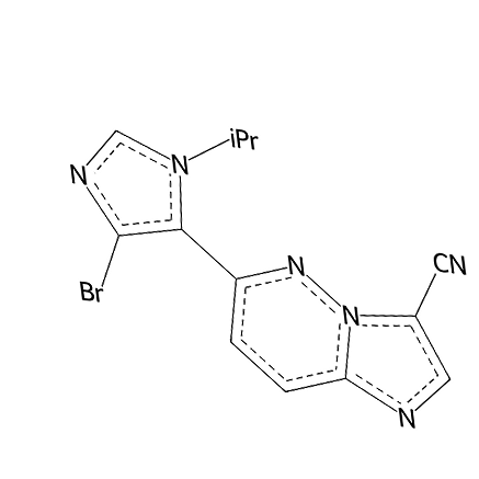 CC(C)n1cnc(Br)c1-c1ccc2ncc(C#N)n2n1